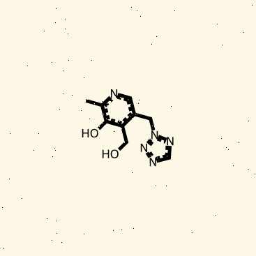 Cc1ncc(Cn2ncnn2)c(CO)c1O